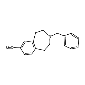 COc1ccc2c(c1)CCN(Cc1ccccc1)CC2